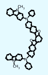 Cn1c2ccccc2c2ccc(N(c3ccccc3)c3ccc4cc5c(cc4c3)oc3c5ccc4oc5cc6cc(N(c7ccccc7)c7ccc8c9ccccc9n(C)c8c7)ccc6cc5c43)cc21